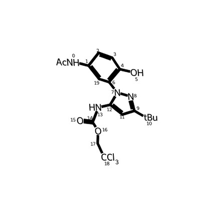 CC(=O)Nc1ccc(O)c(-n2nc(C(C)(C)C)cc2NC(=O)OCC(Cl)(Cl)Cl)c1